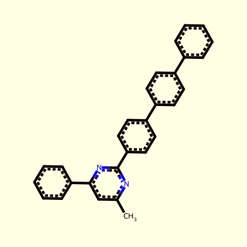 Cc1cc(-c2ccccc2)nc(-c2ccc(-c3ccc(-c4ccccc4)cc3)cc2)n1